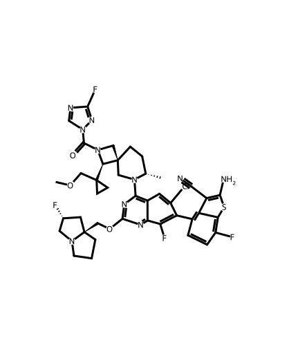 COCC1([C@H]2N(C(=O)n3cnc(F)n3)C[C@]23CC[C@H](C)N(c2nc(OC[C@@]45CCCN4C[C@H](F)C5)nc4c(F)c(-c5ccc(F)c6sc(N)c(C#N)c56)c(Cl)cc24)C3)CC1